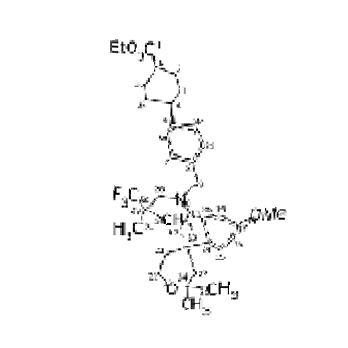 CCOC(=O)[C@H]1CC[C@@H](c2ccc(CN(CC[C@@]3(c4ccc(OC)cc4)CCOC(C)(C)C3)CC(C)(C)C(F)(F)F)cc2)CC1